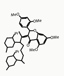 COc1ccc(C2Oc3cc(OC)cc(OC)c3C(=O)C2=C(C)C(CCCC(C)C2CC(C)CCC2C(C)C)C2CC(C)CCC2C(C)C)c(OC)c1